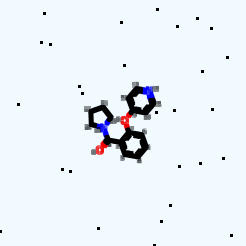 O=C(c1ccccc1Oc1ccncc1)N1CCCC1